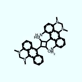 CN1CN(C)c2c3ccccc3c(C3C(O)C(c4c5c(N)cccc5c5c6c(ccc(N)c46)N(C)CN5C)C3O)c3cccc1c23